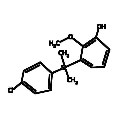 COc1c(O)cccc1[Si](C)(C)c1ccc(Cl)cc1